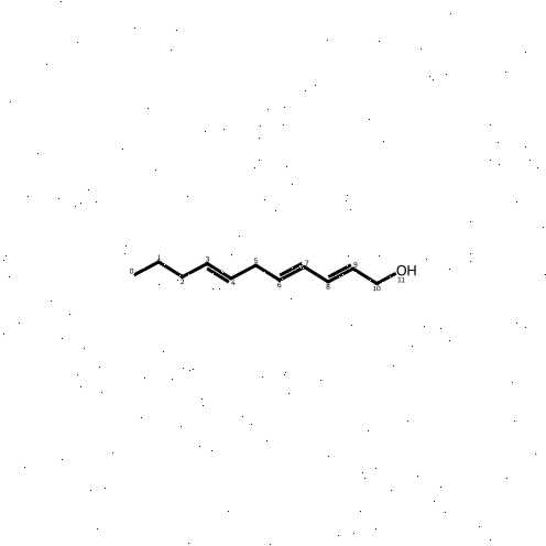 CCCC=CCC=CC=CCO